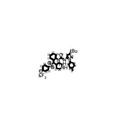 Cc1ccc(-n2nc(C(C)(C)C)cc2NC(=O)Nc2ccccc2C(C2CCNCC2)S(=O)(=O)c2ccc(OC(F)(F)F)cc2)cc1